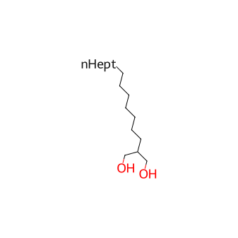 CCCCCCCCCCCCCCC(CO)CO